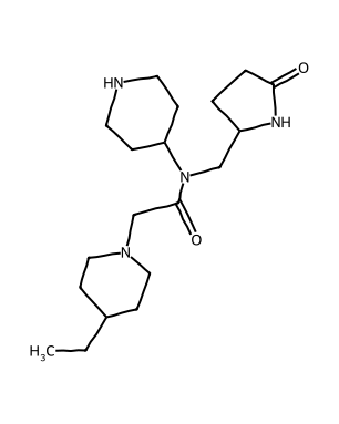 CCC1CCN(CC(=O)N(CC2CCC(=O)N2)C2CCNCC2)CC1